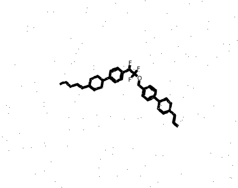 CC=CC1CCC(c2ccc(COC(F)(F)C(F)c3ccc(C4CCC(CCCCC)CC4)cc3)cc2)CC1